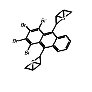 Brc1c(Br)c(Br)c2c(C3C4C5CS534)c3ccccc3c(C3C4C5CS534)c2c1Br